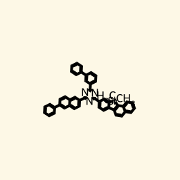 C[Si]1(C)c2cc(-c3nc(-c4cccc(-c5ccccc5)c4)nc(-c4ccc5cc(-c6ccccc6)ccc5c4)n3)ccc2-c2ccc3ccccc3c21